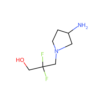 NC1CCN(CC(F)(F)CO)C1